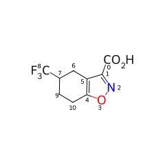 O=C(O)c1noc2c1CC(C(F)(F)F)CC2